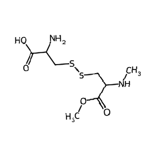 CNC(CSSCC(N)C(=O)O)C(=O)OC